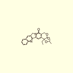 CCC1(OC(C)C)C(=O)OCc2c1cc1n(c2=O)Cc2cc3ccccc3nc2-1